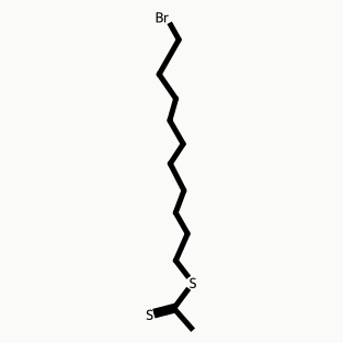 CC(=S)SCCCCCCCCCCBr